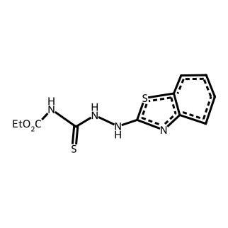 CCOC(=O)NC(=S)NNc1nc2ccccc2s1